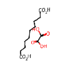 O=C(O)C(=O)O.O=C(O)CCCCCCCCC(=O)O